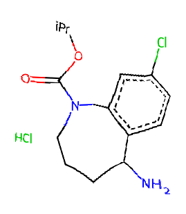 CC(C)OC(=O)N1CCCC(N)c2ccc(Cl)cc21.Cl